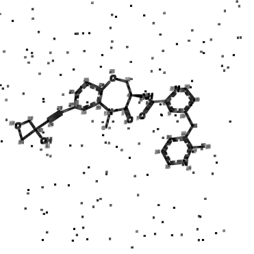 CN1C(=O)[C@H](NC(=O)c2cc(Cc3cccnc3F)ccn2)COc2ccc(C#CC3(O)COC3)cc21